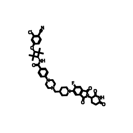 CC1(C)[C@H](NC(=O)c2ccc(N3CCN(CC4CCN(c5cc6c(cc5F)C(=O)N(C5CCC(=O)NC5=O)C6=O)CC4)CC3)cc2)C(C)(C)[C@H]1Oc1ccc(C#N)c(Cl)c1